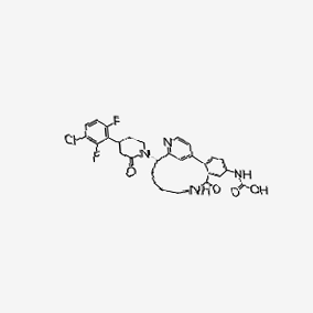 O=C(O)Nc1ccc2c(c1)C(=O)NCCCC[C@H](N1CCC(c3c(F)ccc(Cl)c3F)=CC1=O)c1cc-2ccn1